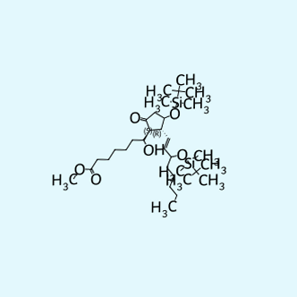 CCCCCC(C=C[C@H]1C(O[Si](C)(C)C(C)(C)C)CC(=O)[C@@H]1C(O)CCCCCC(=O)OC)O[Si](C)(C)C(C)(C)C